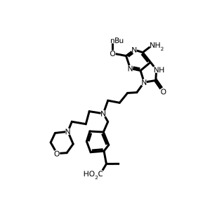 CCCCOc1nc(N)c2[nH]c(=O)n(CCCCN(CCCN3CCOCC3)Cc3cccc(C(C)C(=O)O)c3)c2n1